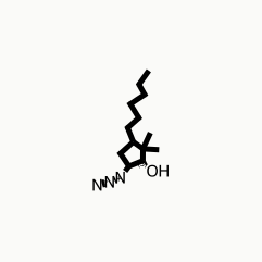 CCCCCCC1CC(N=[N+]=[N-])[C@@H](O)C1(C)C